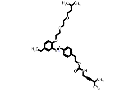 CCc1ccc(OCCOCCOCCC(C)C)c(/N=N/c2ccc(CCOC(=O)NCC#CC(C)C)cc2)c1